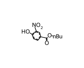 CCCCOC(=O)c1ccc(O)c([N+](=O)[O-])c1